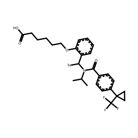 [2H]C(c1ccccc1OCCCCCC(=O)O)N(C(=O)c1ccc(C2(C(F)(F)F)CC2)cc1)C(C)C